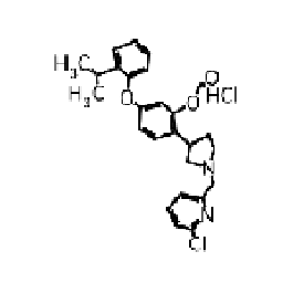 CC(C)c1ccccc1Oc1ccc(C2CCN(Cc3cccc(Cl)n3)C2)c(OC=O)c1.Cl